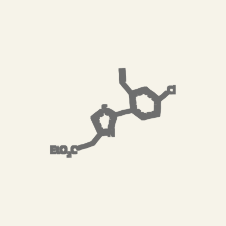 C=Cc1cc(Cl)ccc1-c1nc(CC(=O)OCC)cs1